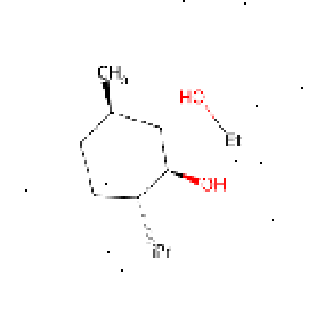 CC(C)[C@@H]1CC[C@@H](C)C[C@H]1O.CCO